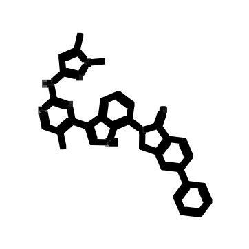 Cc1cnc(Nc2cc(C)n(C)n2)nc1-c1c[nH]c2c(N3Cc4cc(-c5ccccc5)ccc4C3=O)cccc12